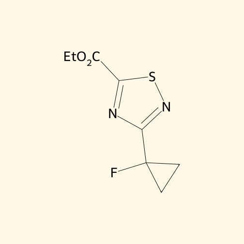 CCOC(=O)c1nc(C2(F)CC2)ns1